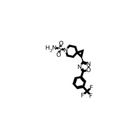 NS(=O)(=O)N1CCC2(CC1)C[C@H]2c1noc(-c2cccc(C(F)(F)F)c2)n1